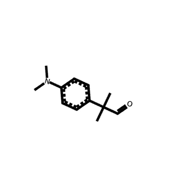 CN(C)c1ccc(C(C)(C)C=O)cc1